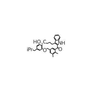 Cc1cc(COc2cccc(CC(C)C)c2)cc(C(=O)c2[nH]c3ccccc3c2CCCC(=O)O)c1C